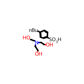 CCCCc1ccc(S(=O)(=O)O)cc1.OCCN(CCO)CCO